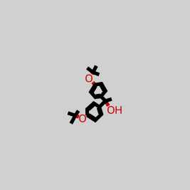 CC(C)(C)Oc1ccc(C(C)(O)c2ccc(OC(C)(C)C)cc2)cc1